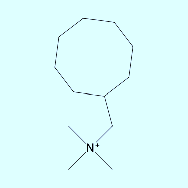 C[N+](C)(C)CC1CCCCCCC1